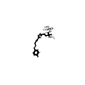 Cc1ccc(CCCC#Cc2ccc(CCC(C)(N)COP(=O)(O)O)s2)cc1